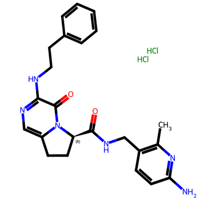 Cc1nc(N)ccc1CNC(=O)[C@H]1CCc2cnc(NCCc3ccccc3)c(=O)n21.Cl.Cl